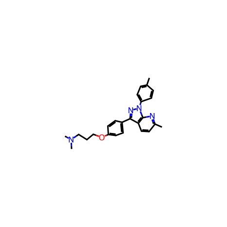 Cc1ccc(-n2nc(-c3ccc(OCCCN(C)C)cc3)c3ccc(C)nc32)cc1